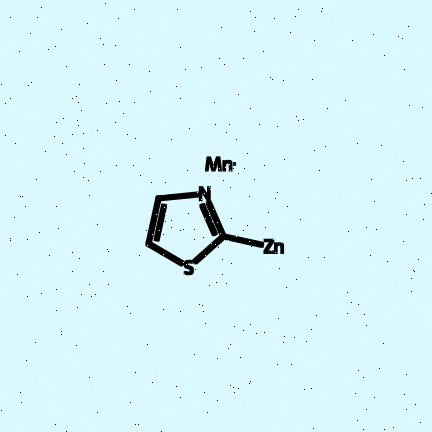 [Mn].[Zn][c]1nccs1